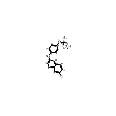 CC[C@@](C)(Oc1ccc(Oc2cnc3cc(Cl)ccc3n2)cc1)C(=O)O